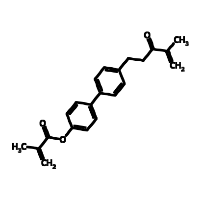 C=C(C)C(=O)CCc1ccc(-c2ccc(OC(=O)C(=C)C)cc2)cc1